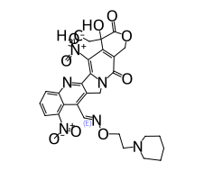 CCC1(O)C(=O)OCc2c1c([N+](=O)[O-])c1n(c2=O)Cc2c-1nc1cccc([N+](=O)[O-])c1c2/C=N/OCCN1CCCCC1